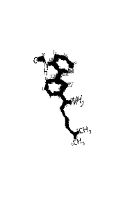 CC(C)CCCC(N)c1cccc(-c2ncccc2NC=O)c1